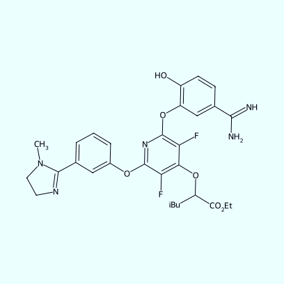 CCOC(=O)C(Oc1c(F)c(Oc2cccc(C3=NCCN3C)c2)nc(Oc2cc(C(=N)N)ccc2O)c1F)C(C)CC